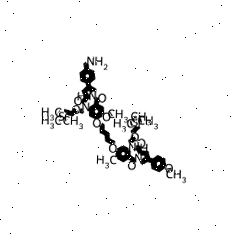 COc1ccc(C2=CN3C(=O)c4cc(C)c(OCCCCCOc5cc6c(cc5OC)C(=O)N5C=C(c7ccc(CN)cc7)C[C@H]5C(=O)N6COCC[Si](C)(C)C)cc4N(COCC[Si](C)(C)C)C(=O)[C@@H]3C2)cc1